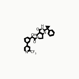 O=C(C(O)c1cccc(-c2ccnc(C(F)(F)F)c2)c1)N1CCc2nc(C3(c4ccccc4)CC3)[nH]c(=O)c2C1